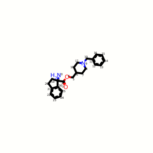 NC1(C(=O)OCC2CCN(Cc3ccccc3)CC2)CCc2ccccc21